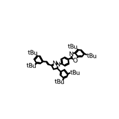 CC(C)(C)c1cc(C=CC2=NN(c3ccc(-c4nc5c(C(C)(C)C)cc(C(C)(C)C)cc5o4)cc3)C(c3cc(C(C)(C)C)cc(C(C)(C)C)c3)C2)cc(C(C)(C)C)c1